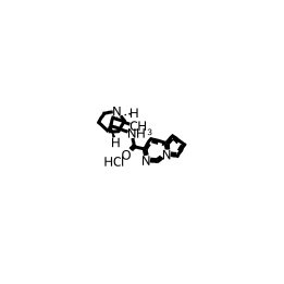 C[C@H]1[C@H](NC(=O)c2cc3cccn3cn2)C2CCN1CC2.Cl